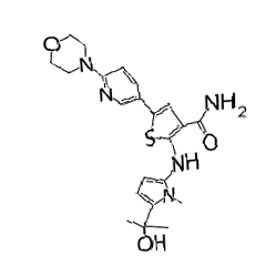 Cn1c(Nc2sc(-c3ccc(N4CCOCC4)nc3)cc2C(N)=O)ccc1C(C)(C)O